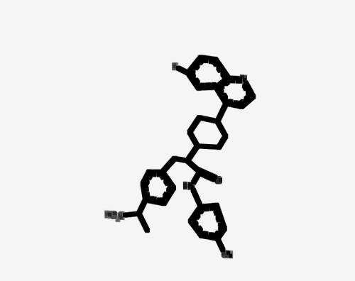 CC(C(=O)O)c1ccc(CC(C(=O)Nc2ccc(C#N)cc2)C2CCC(c3ccnc4ccc(F)cc34)CC2)cc1